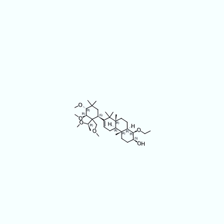 CCO[C@H]1[C@@H](O)CC[C@]2(C)[C@H]3CC=C([C@@H]4CC(C)(C)[C@@H](OC)[C@H](OC)C4(COC)[C@@H](C)OC)C(C)(C)[C@]3(C)CC[C@@H]12